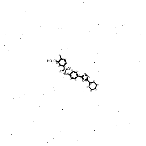 Cc1ccc(S(=O)(=O)Nc2ccc(-c3nnc(C4CCCCC4)o3)cc2)cc1C(=O)O